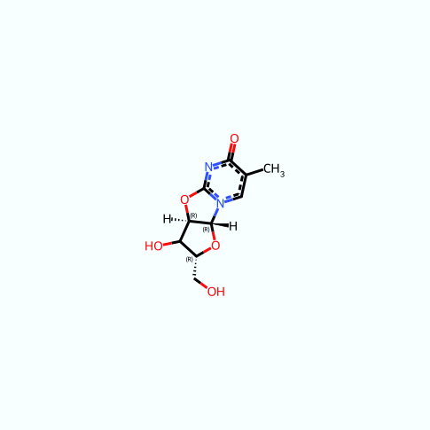 Cc1cn2c(nc1=O)O[C@@H]1C(O)[C@@H](CO)O[C@H]12